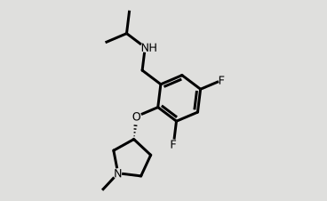 CC(C)NCc1cc(F)cc(F)c1O[C@@H]1CCN(C)C1